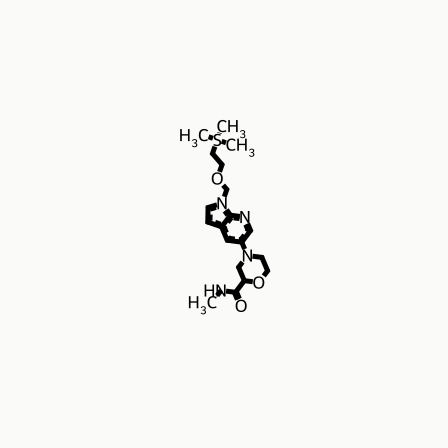 CNC(=O)C1CN(c2cnc3c(ccn3COCCS(C)(C)C)c2)CCO1